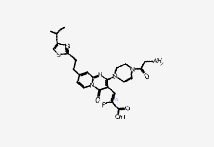 CC(C)c1csc(CCc2ccn3c(=O)c(/C=C(\F)C(=O)O)c(N4CCN(C(=O)CN)CC4)nc3c2)n1